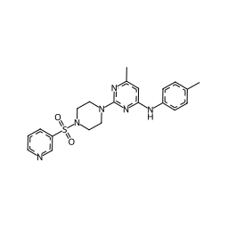 Cc1ccc(Nc2cc(C)nc(N3CCN(S(=O)(=O)c4cccnc4)CC3)n2)cc1